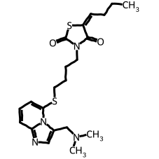 CCCC=C1SC(=O)N(CCCCSc2cccc3ncc(CN(C)C)n23)C1=O